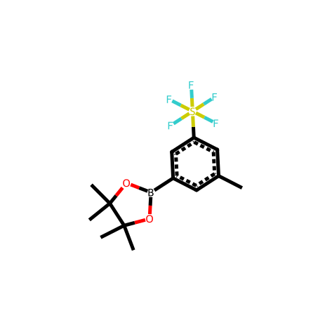 Cc1cc(B2OC(C)(C)C(C)(C)O2)cc(S(F)(F)(F)(F)F)c1